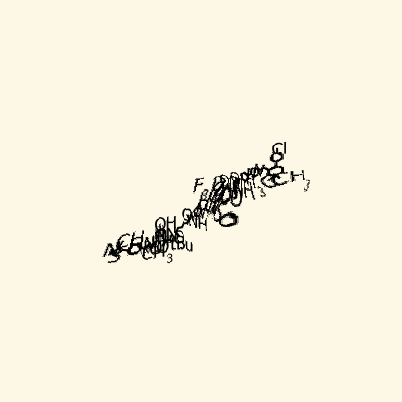 Cc1ncsc1-c1ccc([C@H](C)NC(=O)[C@@H]2C[C@@H](O)CN2C(=O)[C@@H](NC(=O)CCCCC(=O)N[C@@H]2CCN(CC[C@H](CSc3ccccc3)Nc3ccc(S(=O)(=O)NC(=O)c4ccc(N5CCN(CC6=C(c7ccc(Cl)cc7)CCC(C)(C)C6)CC5)cc4)cc3S(=O)(=O)C(F)(F)F)C2)C(C)(C)C)cc1